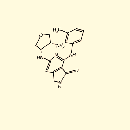 Cc1cccc(Nc2nc(N[C@@H]3COC[C@@H]3N)cc3c2C(=O)NC3)c1